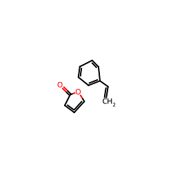 C=Cc1ccccc1.O=C1C=C=CO1